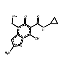 CC(C)(C)Cn1c(=O)c(C(=O)NC2CC2)c(O)n2nc(N)cc12